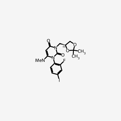 CNc1cc(=O)n(C[C@H]2COC(C)(C)O2)c(=O)n1-c1ccc(I)cc1F